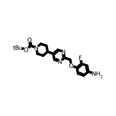 CC(C)(C)OC(=O)N1CCC(c2cnc(COc3ccc(N)cc3F)nc2)CC1